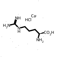 Cl.N=C(N)NCCC[C@H](N)C(=O)O.[Ca]